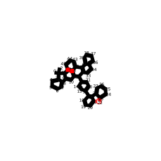 CC1(C)c2ccccc2-c2cc(C(c3ccc(-c4cccc5oc6ccccc6c45)cc3)c3ccc4ccccc4c3-c3ccccc3)ccc21